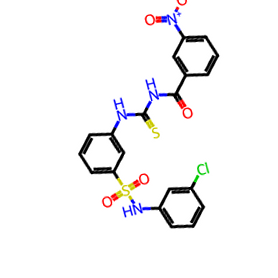 O=C(NC(=S)Nc1cccc(S(=O)(=O)Nc2cccc(Cl)c2)c1)c1cccc([N+](=O)[O-])c1